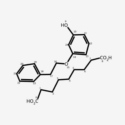 O=C(O)CCCCCCCC(=O)O.Oc1cccc(OCCc2ccccc2)c1